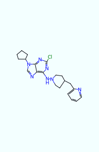 Clc1nc(NN2CCC(Cc3ccccn3)CC2)c2ncn(C3CCCC3)c2n1